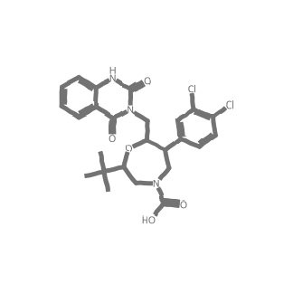 CC(C)(C)C1CN(C(=O)O)CC(c2ccc(Cl)c(Cl)c2)C(Cn2c(=O)[nH]c3ccccc3c2=O)O1